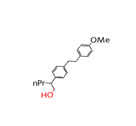 CCCC(CO)c1ccc(CCc2ccc(OC)cc2)cc1